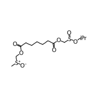 CC(C)OS(=O)COC(=O)CCCCCC(=O)OC[S+](C)[O-]